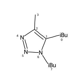 CCC(C)c1c(C)nnn1C(C)CC